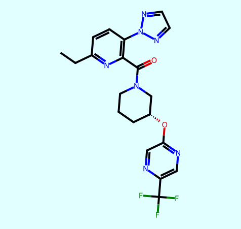 CCc1ccc(-n2nccn2)c(C(=O)N2CCC[C@@H](Oc3cnc(C(F)(F)F)cn3)C2)n1